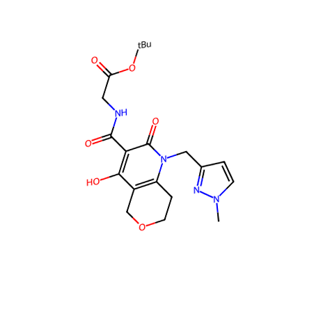 Cn1ccc(Cn2c3c(c(O)c(C(=O)NCC(=O)OC(C)(C)C)c2=O)COCC3)n1